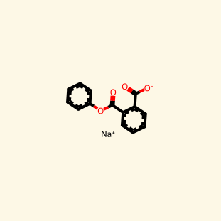 O=C([O-])c1ccccc1C(=O)Oc1ccccc1.[Na+]